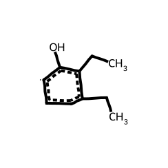 CCc1cc[c]c(O)c1CC